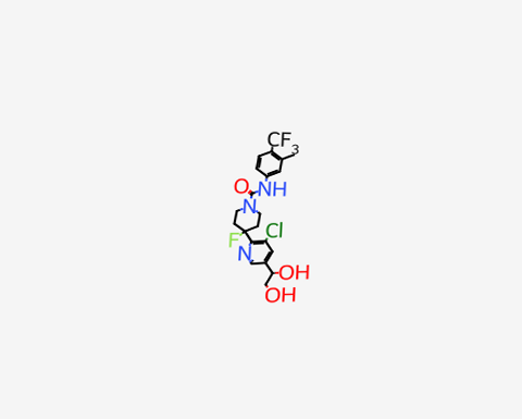 Cc1cc(NC(=O)N2CCC(F)(c3ncc([C@@H](O)CO)cc3Cl)CC2)ccc1C(F)(F)F